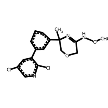 CC1(c2cccc(-c3cc(Cl)cnc3Cl)c2)COCC(NOC=O)=N1